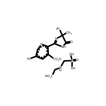 CCc1cnc(C2=NC(C)(C(C)C)C(=O)N2)c(C(=O)O)c1.O=C(O)CNCP(=O)(O)O